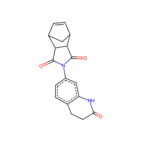 O=C1CCc2ccc(N3C(=O)C4C5C=CC(C5)C4C3=O)cc2N1